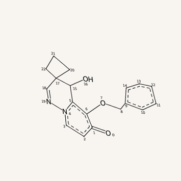 O=c1ccn2c(c1OCc1ccccc1)C(O)C1(C=N2)CCC1